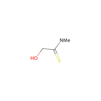 CNC(=S)CO